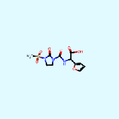 CS(=O)(=O)N1CCN(C(=O)NC(C(=O)O)c2ccco2)C1=O